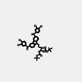 CC(C)(C)OC(=O)N=C(NCCn1c2ccc(Nc3ccc(Cl)c(Cl)c3)cc2c2cc(Nc3ccc(Cl)c(Cl)c3)ccc21)NC(=O)OC(C)(C)C